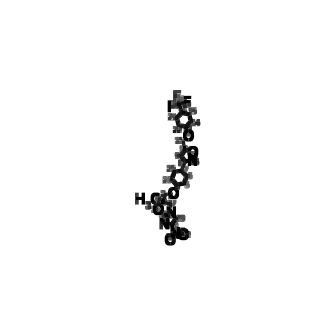 C[C@]1(COc2ccc(-c3cc(COc4ccc(C(F)(F)F)cc4)on3)cc2)Cn2cc([N+](=O)[O-])nc2O1